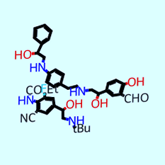 CCOC(=O)Nc1c(F)cc(C(O)CNC(C)(C)C)cc1C#N.O=Cc1cc(C(O)CNCCc2ccc(NCC(O)c3ccccc3)cc2)ccc1O